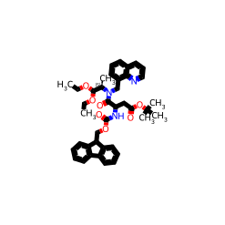 CCOC(OCC)[C@H](C)N(Cc1cccc2cccnc12)C(=O)C(CC(=O)OC(C)(C)C)NC(=O)OCC1c2ccccc2-c2ccccc21